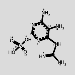 N=C(N)Nc1ncnc(N)c1N.O=S(=O)(O)O